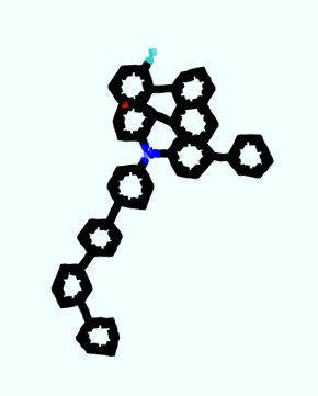 Fc1ccccc1-c1cccc2cccc(-c3ccccc3N(c3ccc(-c4ccccc4)cc3)c3ccc(-c4ccc(-c5cccc(-c6ccccc6)c5)cc4)cc3)c12